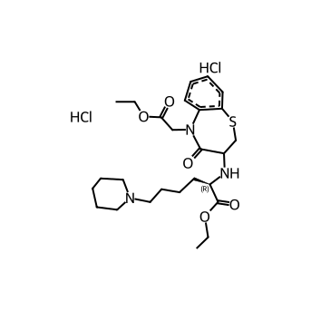 CCOC(=O)CN1C(=O)C(N[C@H](CCCCN2CCCCC2)C(=O)OCC)CSc2ccccc21.Cl.Cl